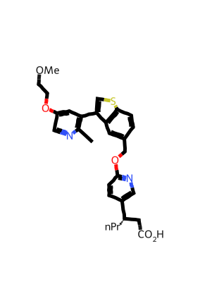 CCC[C@@H](CC(=O)O)c1ccc(OCc2ccc3scc(-c4cc(OCCOC)cnc4C)c3c2)nc1